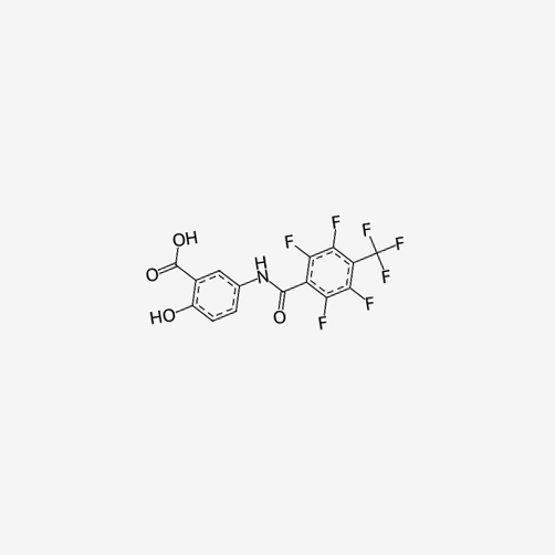 O=C(O)c1cc(NC(=O)c2c(F)c(F)c(C(F)(F)F)c(F)c2F)ccc1O